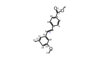 COC(=O)c1ccc(/C=C/c2cc(C)cc(OC)c2)cc1